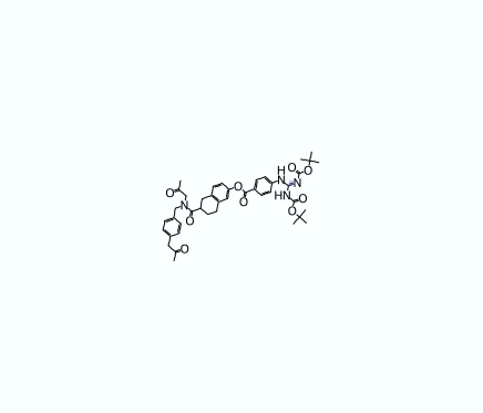 CC(=O)Cc1ccc(CN(CC(C)=O)C(=O)C2CCc3cc(OC(=O)c4ccc(N/C(=N\C(=O)OC(C)(C)C)NC(=O)OC(C)(C)C)cc4)ccc3C2)cc1